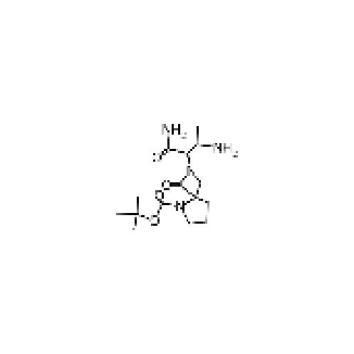 CC(N)C(C(N)=O)N1CC2(CCCN2C(=O)OC(C)(C)C)C1=O